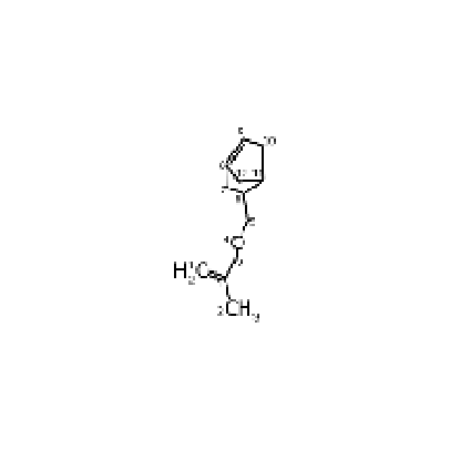 C=C(C)COCC1CC2=CCC1C2